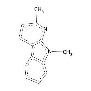 Cc1ccc2c3ccccc3n(C)c2n1